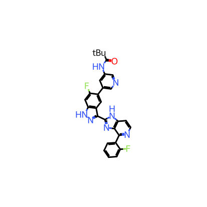 CC(C)(C)C(=O)Nc1cncc(-c2cc3c(-c4nc5c(-c6ccccc6F)nccc5[nH]4)n[nH]c3cc2F)c1